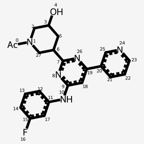 CC(=O)N1CC(O)CC(c2nc(Nc3cccc(F)c3)cc(-c3cccnc3)n2)C1